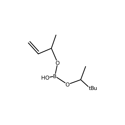 C=CC(C)OB(O)OC(C)C(C)(C)C